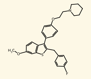 COc1ccc2c(-c3ccc(OCCN4CCCCC4)cc3)c(Cc3ccc(F)cc3)sc2c1